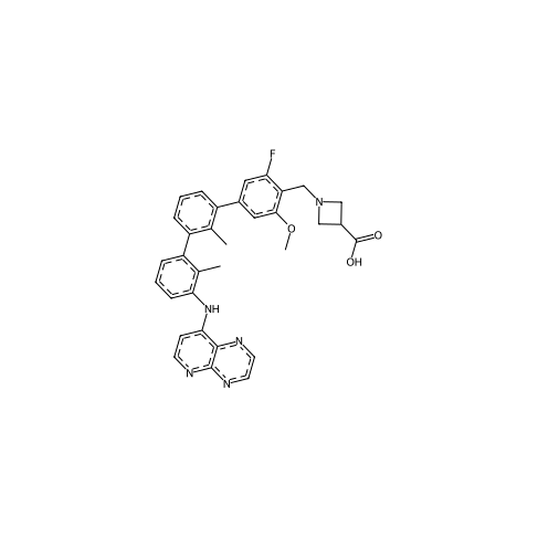 COc1cc(-c2cccc(-c3cccc(Nc4ccnc5nccnc45)c3C)c2C)cc(F)c1CN1CC(C(=O)O)C1